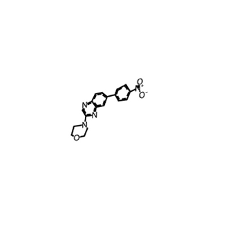 O=[N+]([O-])c1ccc(-c2ccc3ncc(N4CCOCC4)nc3c2)cc1